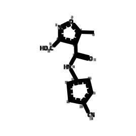 Cc1onc(C(=O)O)c1C(=O)Nc1ccc(C#N)cc1